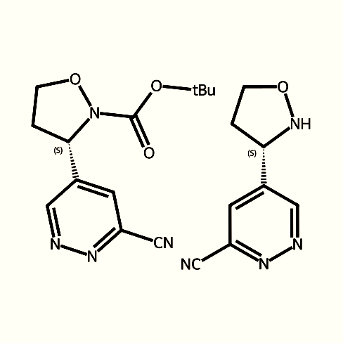 CC(C)(C)OC(=O)N1OCC[C@H]1c1cnnc(C#N)c1.N#Cc1cc([C@@H]2CCON2)cnn1